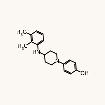 Cc1cccc(NC2CCN(c3ccc(O)cc3)CC2)c1C